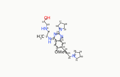 COc1cc2c(N[C@H](C)CNCCO)nc(N3CCCC3)nc2cc1C#CCN1CCCC1